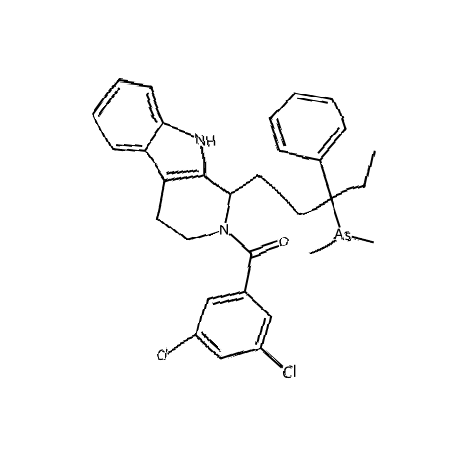 CCC(CCC1c2[nH]c3ccccc3c2CCN1C(=O)c1cc(Cl)cc(Cl)c1)(c1ccccc1)[As](C)C